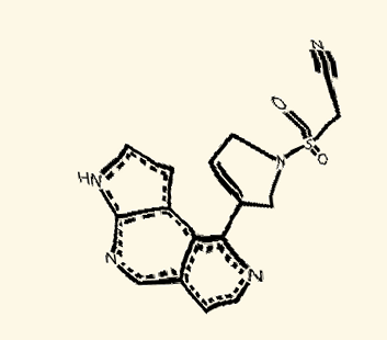 N#CCS(=O)(=O)N1CC=C(c2nccc3cnc4[nH]ccc4c23)C1